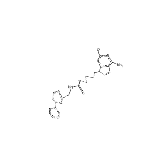 Nc1nc(Cl)nc2c1C=CC2CCCCOC(=O)NCc1cccc(-c2ccccc2)c1